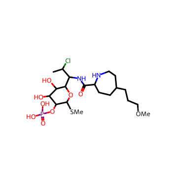 COCCCC1CCNC(C(=O)NC(C(C)Cl)C2OC(SC)C(OP(=O)(O)O)C(O)C2O)CC1